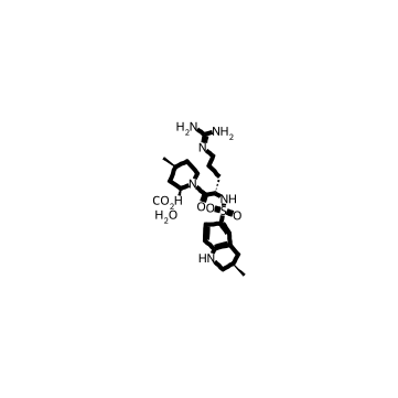 C[C@H]1CNc2ccc(S(=O)(=O)N[C@@H](CCCN=C(N)N)C(=O)N3CC[C@H](C)C[C@@H]3C(=O)O)cc2C1.O